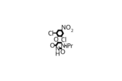 CC(C)n1cc(Oc2c(Cl)cc([N+](=O)[O-])cc2Cl)c(=O)[nH]c1=O